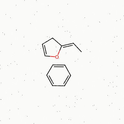 CC=C1CC=CO1.c1ccccc1